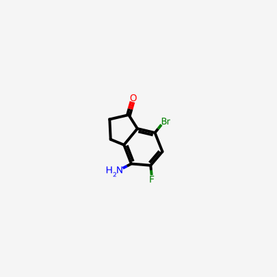 Nc1c(F)cc(Br)c2c1CCC2=O